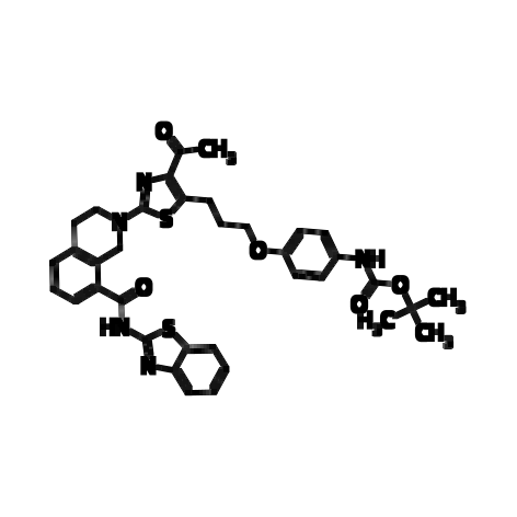 CC(=O)c1nc(N2CCc3cccc(C(=O)Nc4nc5ccccc5s4)c3C2)sc1CCCOc1ccc(NC(=O)OC(C)(C)C)cc1